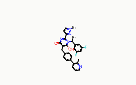 CCC(c1cc(F)cc(F)c1)n1c(-c2ccn(CC)n2)nc(=O)c(Cc2ccc(-c3cccnc3C)cc2)c1O